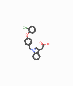 O=C(O)Cc1cn(Cc2ccc(Oc3ccccc3Cl)cc2)c2ccccc12